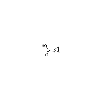 O=C(O)[C@@H]1[CH]C1